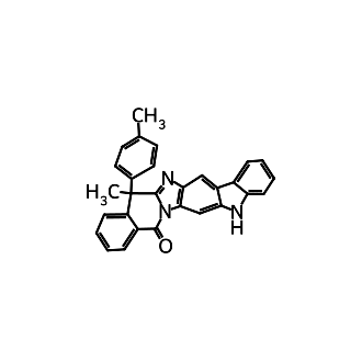 Cc1ccc(C2(C)c3ccccc3C(=O)n3c2nc2cc4c(cc23)[nH]c2ccccc24)cc1